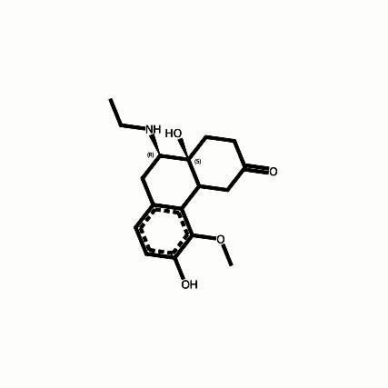 CCN[C@@H]1Cc2ccc(O)c(OC)c2C2CC(=O)CC[C@]21O